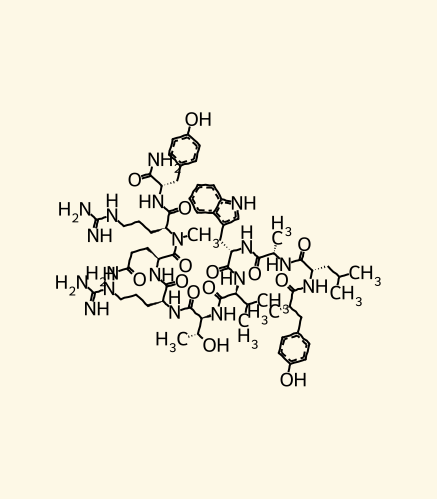 CC(C)C[C@H](NC(=O)[C@@H](C)Cc1ccc(O)cc1)C(=O)N[C@@H](C)C(=O)N[C@@H](Cc1c[nH]c2ccccc12)C(=O)N[C@H](C(=O)N[C@H](C(=O)N[C@@H](CCCNC(=N)N)C(=O)N[C@@H](CCC(N)=O)C(=O)N(C)[C@@H](CCCNC(=N)N)C(=O)N[C@@H](Cc1ccc(O)cc1)C(N)=O)[C@@H](C)O)C(C)C